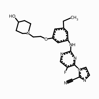 CCc1cc(Nc2ncc(F)c(-n3ccnc3C#N)n2)cc(OCCN2CCC(O)CC2)c1